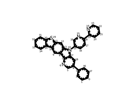 c1ccc(-c2cnc3c4cc5c(cc4n(-c4ccc(-c6ccccn6)nc4)c3c2)sc2ccccc25)cc1